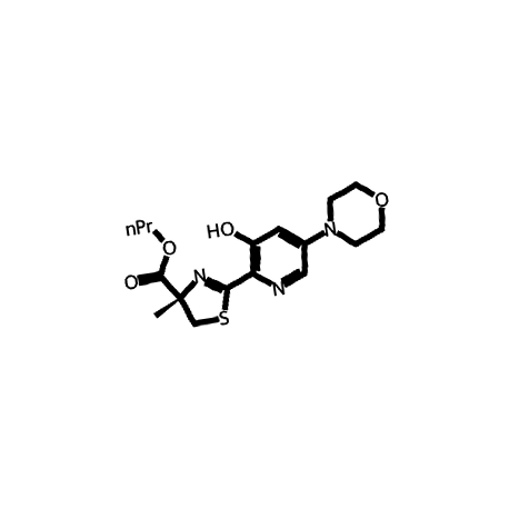 CCCOC(=O)[C@@]1(C)CSC(c2ncc(N3CCOCC3)cc2O)=N1